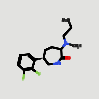 COCCN(C(=O)O)[C@@H]1CC[C@@H](c2cccc(F)c2F)CNC1=O